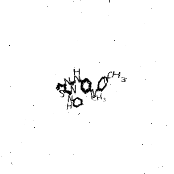 CN1CCC(N(C)c2ccc(Nc3nc(NC4CCCCC4)c4sccc4n3)cc2)CC1